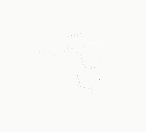 Cc1ccc(-c2c(SP)cnn2C)c(Cl)c1